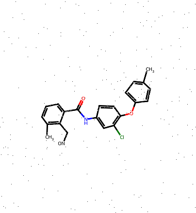 Cc1ccc(Oc2ccc(NC(=O)c3cccc(C)c3CN=O)cc2Cl)cc1